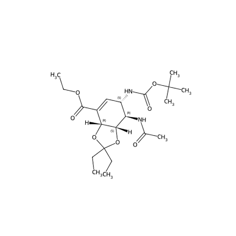 CCOC(=O)C1=C[C@H](NC(=O)OC(C)(C)C)[C@@H](NC(C)=O)[C@@H]2OC(CC)(CC)O[C@H]12